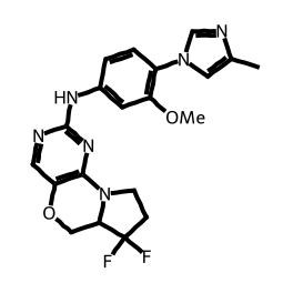 COc1cc(Nc2ncc3c(n2)N2CCC(F)(F)C2CO3)ccc1-n1cnc(C)c1